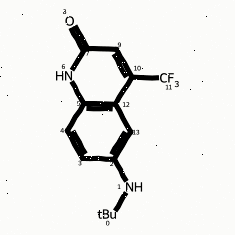 CC(C)(C)Nc1ccc2[nH]c(=O)cc(C(F)(F)F)c2c1